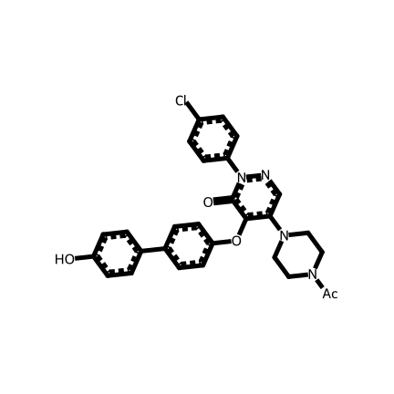 CC(=O)N1CCN(c2cnn(-c3ccc(Cl)cc3)c(=O)c2Oc2ccc(-c3ccc(O)cc3)cc2)CC1